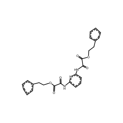 O=C(Nc1cccc(NC(=O)C(=O)OCCc2ccccc2)n1)C(=O)OCCc1ccccc1